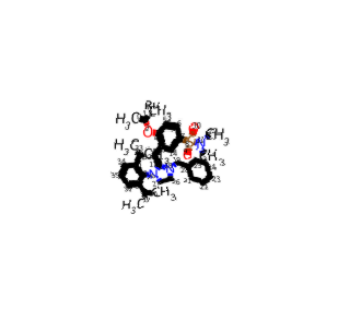 CC(C)Oc1ccc(S(=O)(=O)N(C)C)cc1C=C1N(CC2CCCCC2)CCN1c1c(C(C)C)cccc1C(C)C.[Ru]